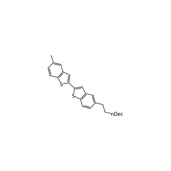 CCCCCCCCCCCCc1ccc2sc(-c3cc4cc(C)ccc4s3)cc2c1